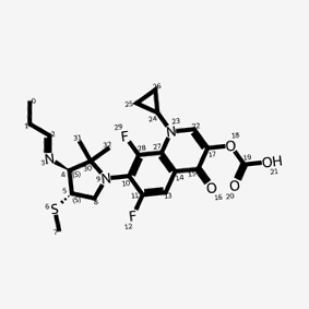 CCC=N[C@@H]1[C@@H](SC)CN(c2c(F)cc3c(=O)c(OC(=O)O)cn(C4CC4)c3c2F)C1(C)C